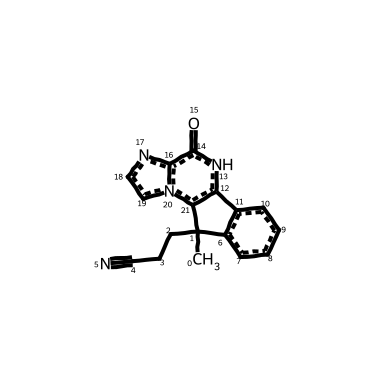 CC1(CCC#N)c2ccccc2-c2[nH]c(=O)c3nccn3c21